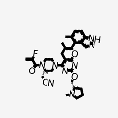 C=C(F)C(=O)N1CCN(c2nc(OC[C@@H]3CCCN3C)nc3c2CC(C)=C(c2c(C)ccc4[nH]ncc24)O3)C[C@@H]1CC#N